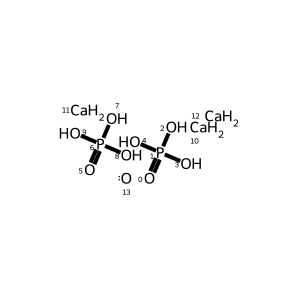 O=P(O)(O)O.O=P(O)(O)O.[CaH2].[CaH2].[CaH2].[O]